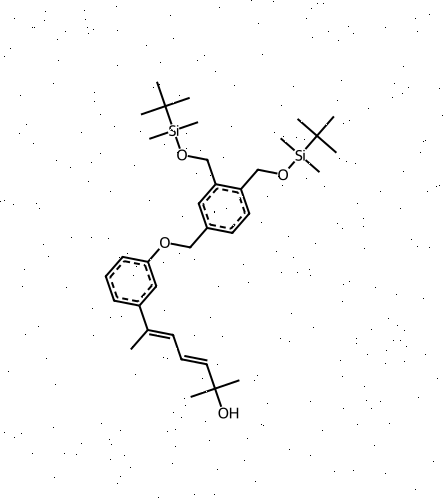 CC(=CC=CC(C)(C)O)c1cccc(OCc2ccc(CO[Si](C)(C)C(C)(C)C)c(CO[Si](C)(C)C(C)(C)C)c2)c1